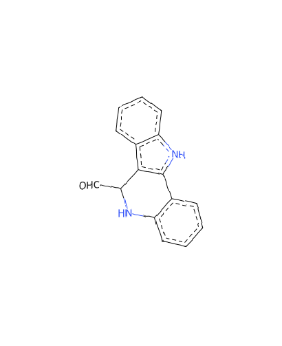 O=CC1Nc2ccccc2-c2[nH]c3ccccc3c21